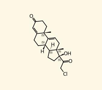 C[C@]12CCC(=O)C=C1CC[C@@H]1C2=CC[C@@]2(C)[C@H]1CC[C@@]2(O)C(=O)CCl